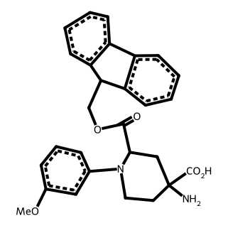 COc1cccc(N2CCC(N)(C(=O)O)CC2C(=O)OCC2c3ccccc3-c3ccccc32)c1